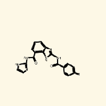 O=C(Nc1nc2cccc(C(=O)Nc3ncc[nH]3)c2[nH]1)c1ccc(F)cc1